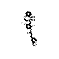 CCc1c(OC(=O)CCc2ccn3nnnc3c2)ccc(C)c1CN1CCOc2ccccc2S1(O)O